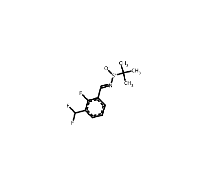 CC(C)(C)[S+]([O-])/N=C/c1cccc(C(F)F)c1F